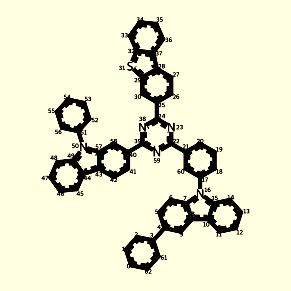 c1ccc(-c2ccc3c(c2)c2ccccc2n3-c2cccc(-c3nc(-c4ccc5c(c4)sc4ccccc45)nc(-c4ccc5c6ccccc6n(-c6ccccc6)c5c4)n3)c2)cc1